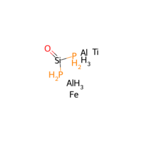 O=[Si](P)P.[AlH3].[AlH3].[Fe].[Ti]